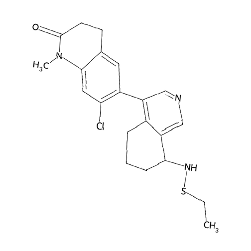 CCSNC1CCCc2c(-c3cc4c(cc3Cl)N(C)C(=O)CC4)cncc21